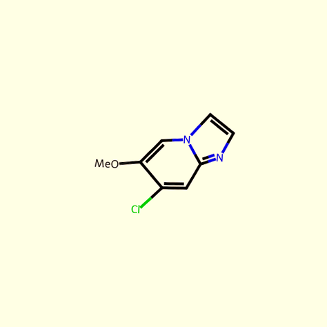 COc1cn2ccnc2cc1Cl